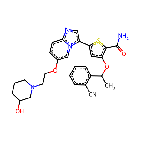 CC(Oc1cc(-c2cnc3ccc(OCCN4CCCC(O)C4)cn23)sc1C(N)=O)c1ccccc1C#N